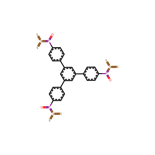 O=P(c1ccc(-c2cc(-c3ccc(P(=O)=S(=S)=S)cc3)cc(-c3ccc(P(=O)=S(=S)=S)cc3)c2)cc1)=S(=S)=S